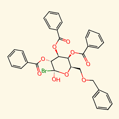 O=C(O[C@@H]1[C@H](OC(=O)c2ccccc2)[C@@H](OC(=O)c2ccccc2)[C@](O)(Br)O[C@@H]1COCc1ccccc1)c1ccccc1